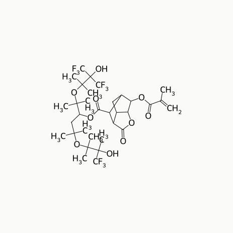 C=C(C)C(=O)OC1C2CC3C1OC(=O)C3C2C(=O)OC(CC(C)(C)OC(C)(C)C(C)(O)C(F)(F)F)C(C)(C)OC(C)(C)C(O)(C(F)(F)F)C(F)(F)F